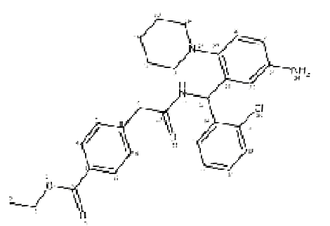 CCOC(=O)c1ccc(CC(=O)NC(c2ccccc2Cl)c2cc(N)ccc2N2CCCCC2)cc1